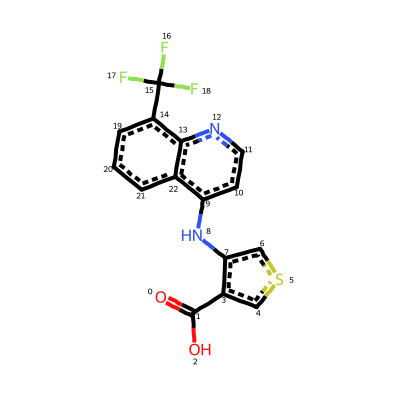 O=C(O)c1cscc1Nc1ccnc2c(C(F)(F)F)cccc12